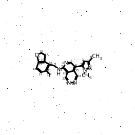 Cc1cc(-c2cnc(NCc3c(F)ccc4c3CCO4)c3cnncc23)n(C)n1